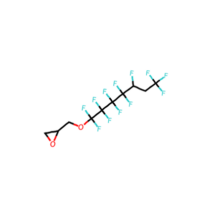 FC(CC(F)(F)F)C(F)(F)C(F)(F)C(F)(F)C(F)(F)OCC1CO1